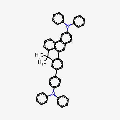 CC1(C)c2cc(-c3ccc(N(c4ccccc4)c4ccccc4)cc3)ccc2-c2cc3ccc(N(c4ccccc4)c4ccccc4)cc3c3cccc1c23